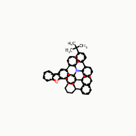 CC(C)(C)c1ccc(-c2ccccc2N(c2ccccc2-c2ccc3oc4ccccc4c3c2)c2ccccc2-c2cccc3cccc(C4CCCCC4)c23)cc1